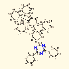 c1ccc(-c2nc(-c3ccccc3)nc(-c3ccc4c(c3)c3ccccc3c3cc5c(cc43)C3(c4ccccc4-c4ccccc43)c3ccccc3-5)n2)cc1